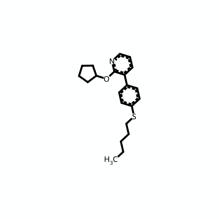 CCCCCSc1ccc(-c2cccnc2OC2CCCC2)cc1